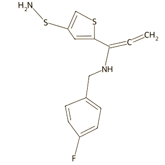 C=C=C(NCc1ccc(F)cc1)c1cc(SN)cs1